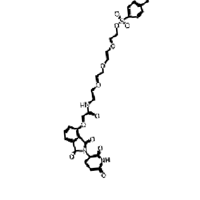 Cc1ccc(S(=O)(=O)OCCOCCOCCOCCNC(=O)COc2cccc3c2C(=O)N(C2CCC(=O)NC2=O)C3=O)cc1